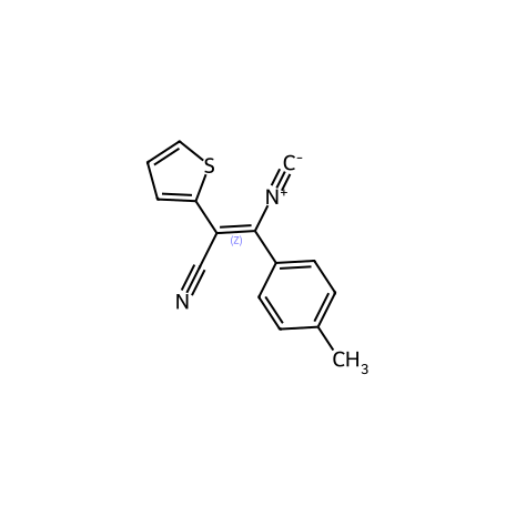 [C-]#[N+]/C(=C(/C#N)c1cccs1)c1ccc(C)cc1